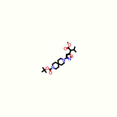 COC(=O)C(c1cc(N2CCC3(CCN(C(=O)OC(C)(C)C)CC3)CC2)no1)C(C)C